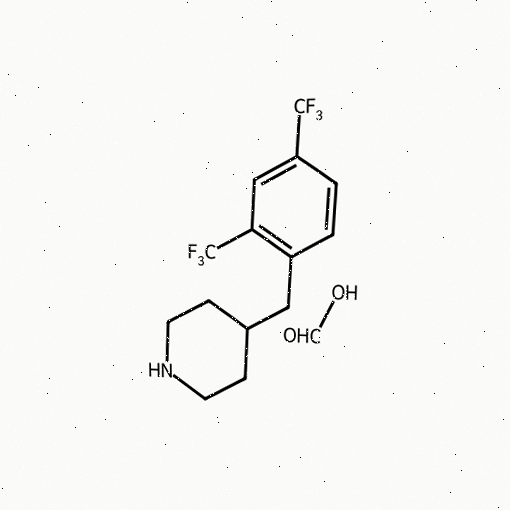 FC(F)(F)c1ccc(CC2CCNCC2)c(C(F)(F)F)c1.O=CO